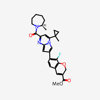 COC(=O)C1=Cc2ccc(-c3cc4nc(C(=O)N5CCCCC[C@H]5C)cc(C5(C)CC5)n4c3)c(F)c2OC1